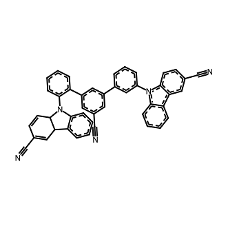 N#CC1=CC2c3ccccc3N(c3ccccc3-c3cc(C#N)cc(-c4cccc(-n5c6ccccc6c6cc(C#N)ccc65)c4)c3)C2C=C1